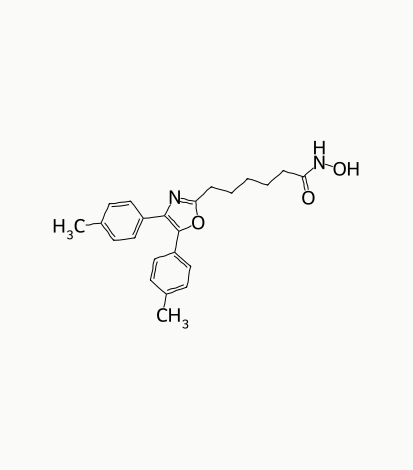 Cc1ccc(-c2nc(CCCCCC(=O)NO)oc2-c2ccc(C)cc2)cc1